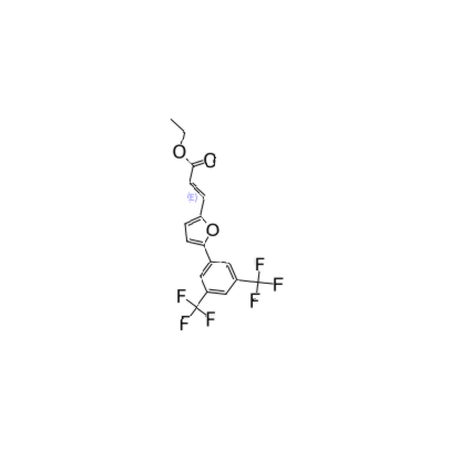 CCOC(=O)/C=C/c1ccc(-c2cc(C(F)(F)F)cc(C(F)(F)F)c2)o1